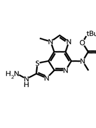 CN(C(=O)OC(C)(C)C)c1nc2nc(NN)sc2c2c1ncn2C